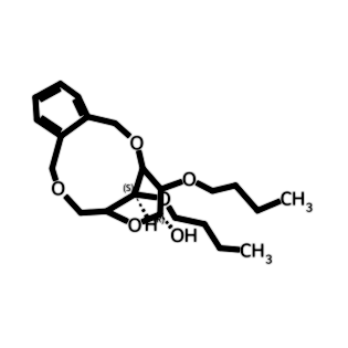 CCCCOC1C2OCc3ccccc3COCC(O[C@H]1O)[C@@H]2OCCCC